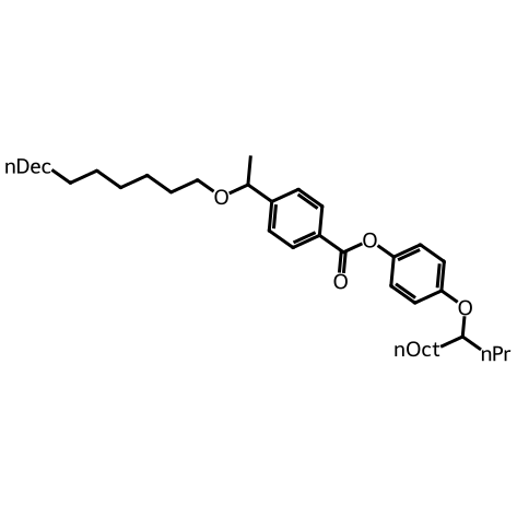 CCCCCCCCCCCCCCCCOC(C)c1ccc(C(=O)Oc2ccc(OC(CCC)CCCCCCCC)cc2)cc1